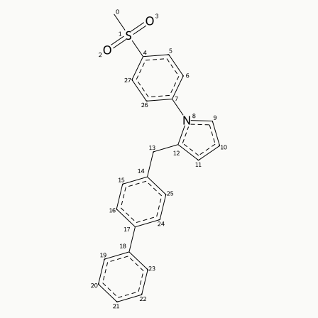 CS(=O)(=O)c1ccc(-n2cccc2Cc2ccc(-c3ccccc3)cc2)cc1